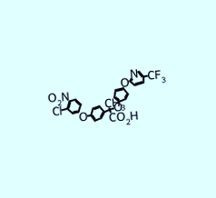 CC(Oc1ccc(Oc2ccc(C(F)(F)F)cn2)cc1)(C(=O)O)c1ccc(Oc2ccc([N+](=O)[O-])c(Cl)c2)cc1